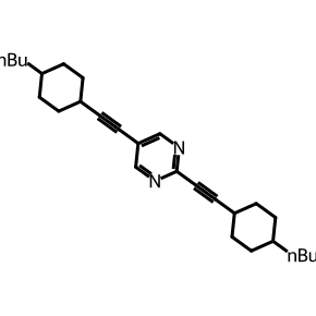 CCCCC1CCC(C#Cc2cnc(C#CC3CCC(CCCC)CC3)nc2)CC1